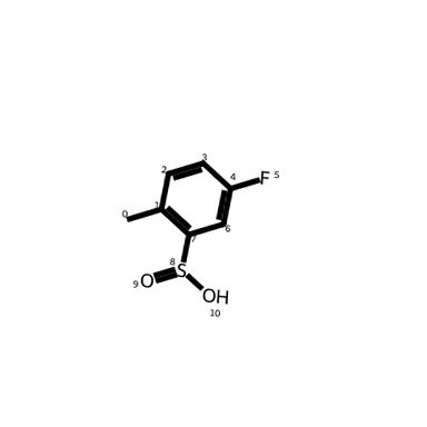 Cc1ccc(F)cc1S(=O)O